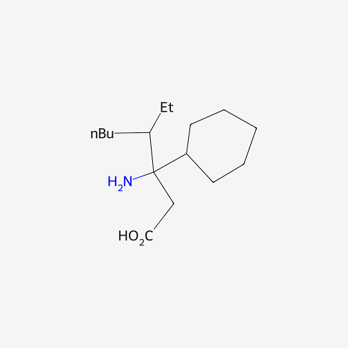 CCCCC(CC)C(N)(CC(=O)O)C1CCCCC1